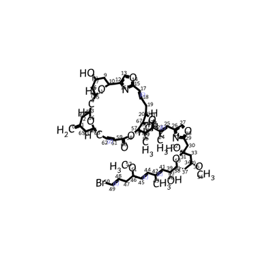 C=C1C[C@@H]2C[C@@H]3C[C@@H](O)CC(O3)c3coc(n3)/C=C/C[C@H]3O[C@@H](/C(C)=C/c4coc(C[C@]5(O)C[C@H](OC)C[C@H]([C@H](O)/C=C(C)/C=C/C(C/C=C/Br)OC)O5)n4)[C@H](C)[C@@H](OC(=O)/C=C\C[C@@H](C1)O2)[C@H]3C